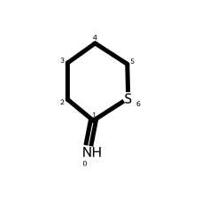 N=C1CCCCS1